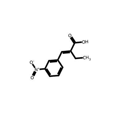 CC/C(=C\c1cccc([N+](=O)[O-])c1)C(=O)O